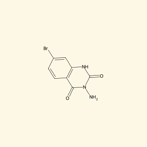 Nn1c(=O)[nH]c2cc(Br)ccc2c1=O